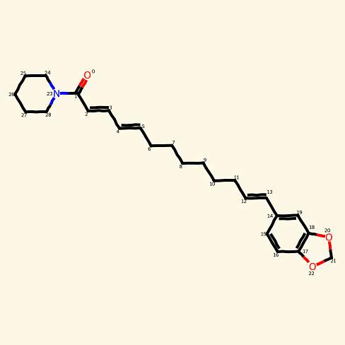 O=C(/C=C/C=C/CCCCCC/C=C/c1ccc2c(c1)OCO2)N1CCCCC1